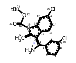 C=c1/c(=C(\N)c2cccc(Cl)c2)c2ccc(Cl)cc2n1C(=O)OC(C)(C)C